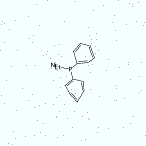 CCP(c1ccccc1)c1ccccc1.[Ni]